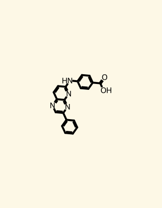 O=C(O)c1ccc(Nc2ccc3ncc(-c4ccccc4)nc3n2)cc1